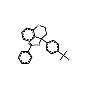 O=C(NC1(c2ccc(C(F)(F)F)cc2)CCOc2ccccc21)c1ccccc1